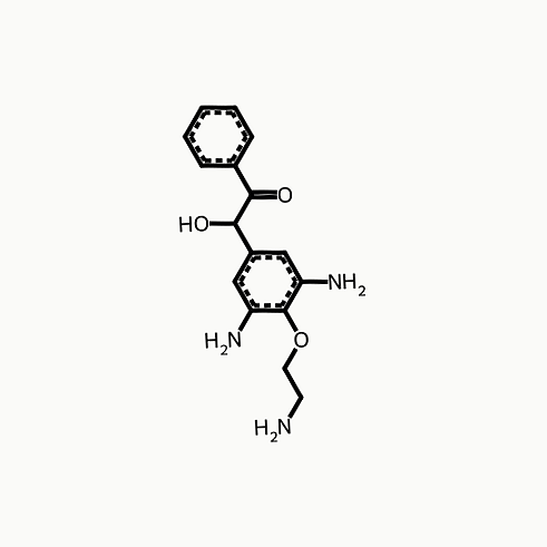 NCCOc1c(N)cc(C(O)C(=O)c2ccccc2)cc1N